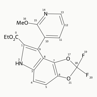 CCOC(=O)c1[nH]c2ccc3c(c2c1-c1cccnc1OC)OC(F)(F)O3